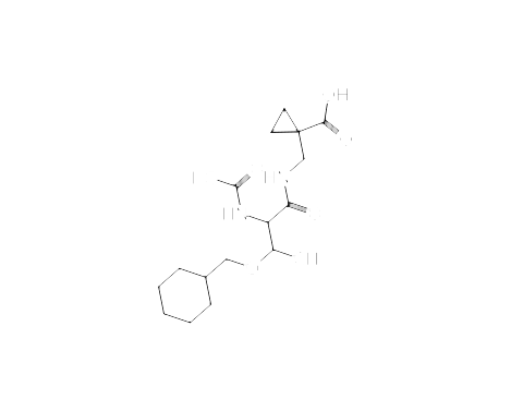 CC(=O)NC(C(=O)NCC1(C(=O)O)CC1)C(C)OCC1CCCCC1